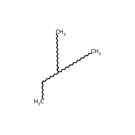 CCCCCCCC/C=C\CCCCCCC[C](C=CCCCCCCCCCCCCCCCC)CCCCCCCCCCCCCCCCCC